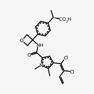 C=C/C(Cl)=C(/Cl)c1cc(C(=O)NC2(c3ccc([C@@H](C)C(=O)O)cc3)COC2)n(C)c1C